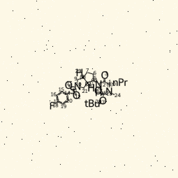 CCC[C@@H](C(=O)N[C@@H]1CC[C@H]2CN(S(=O)(=O)c3ccc(F)cc3)C[C@H]21)N(C)C(=O)OC(C)(C)C